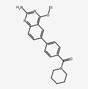 CCOc1nc(N)nc2ccc(-c3ccc(C(=O)N4CCCCC4)cc3)cc12